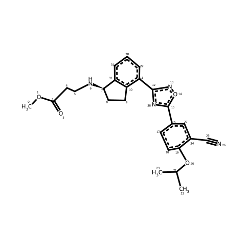 COC(=O)CCN[C@@H]1CCc2c(-c3noc(-c4ccc(OC(C)C)c(C#N)c4)n3)cccc21